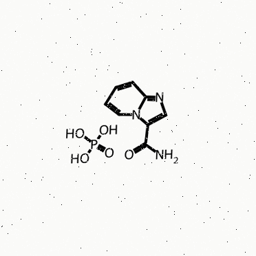 NC(=O)c1cnc2ccccn12.O=P(O)(O)O